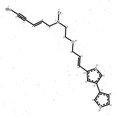 CCN(CC=CC#CC(C)(C)C)CCOCC=Cc1cc(-c2ccsc2)cs1